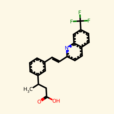 CC(CC(=O)O)c1cccc(C=Cc2ccc3ccc(C(F)(F)F)cc3n2)c1